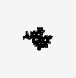 NC(=O)c1ccc(OC(F)F)c2c1OCC1(CO2)CS(=O)(=O)C1c1c(Cl)c[n+]([O-])cc1Cl